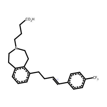 O=C(O)CCCN1CCc2cccc(CC/C=C/c3ccc(C(F)(F)F)cc3)c2CC1